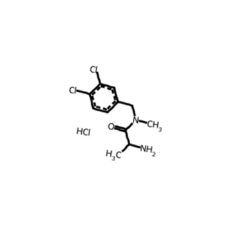 CC(N)C(=O)N(C)Cc1ccc(Cl)c(Cl)c1.Cl